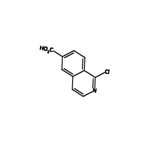 O=C(O)c1ccc2c(Cl)nccc2c1